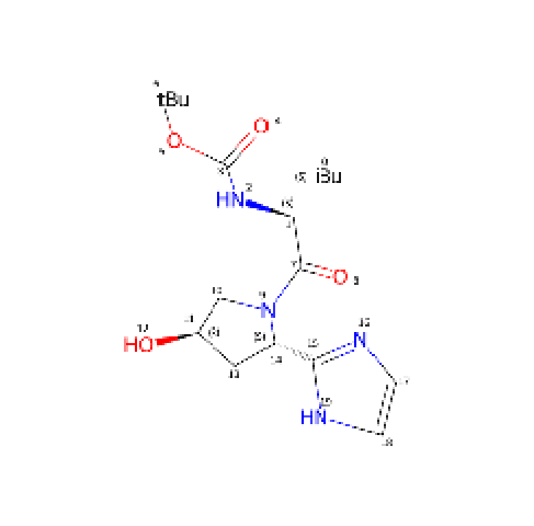 CC[C@H](C)[C@H](NC(=O)OC(C)(C)C)C(=O)N1C[C@H](O)C[C@H]1c1ncc[nH]1